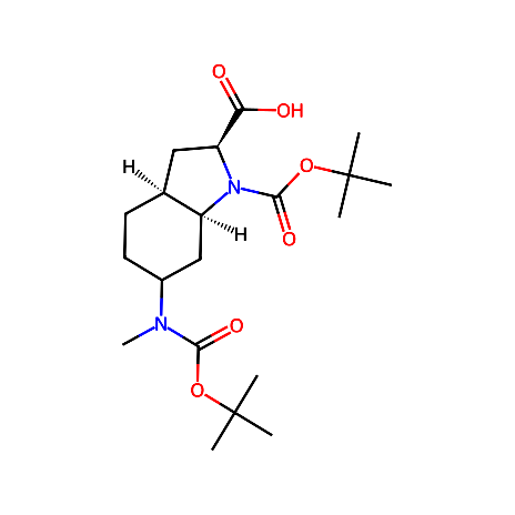 CN(C(=O)OC(C)(C)C)C1CC[C@H]2C[C@@H](C(=O)O)N(C(=O)OC(C)(C)C)[C@H]2C1